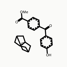 C1C2CC34CC1CC3(C2)C4.COC(=O)c1ccc(C(=O)c2ccc(O)cc2)cc1